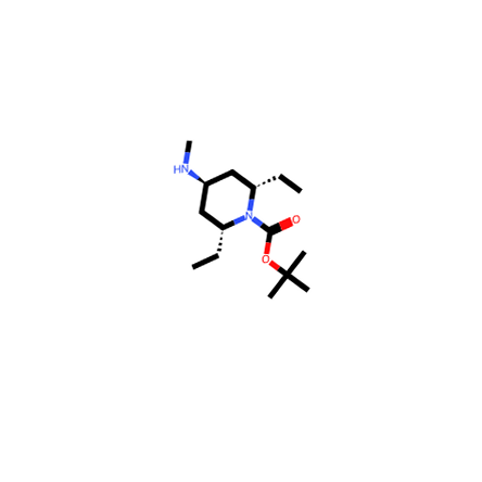 CC[C@@H]1C[C@@H](NC)C[C@H](CC)N1C(=O)OC(C)(C)C